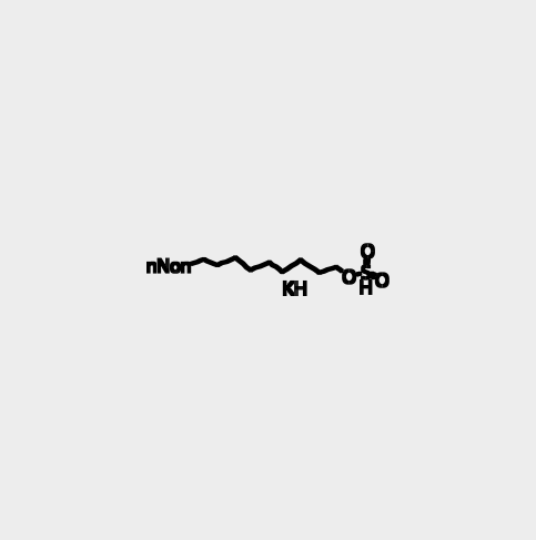 CCCCCCCCCCCCCCCCCCO[SH](=O)=O.[KH]